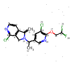 C=C1c2ccnc(Cl)c2CN1C(C)c1cnc(OCC(F)F)c(Cl)c1